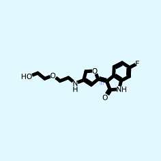 O=C1Nc2cc(F)ccc2/C1=C1/C=C(NCCOCCO)CO1